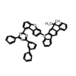 CC1(C)c2ccccc2-c2cc3c4ccccc4n(-c4ccc5c(c4)oc4cccc(-c6nc(-c7ccccc7)nc(-c7cccc(-c8ccccc8)c7)n6)c45)c3cc21